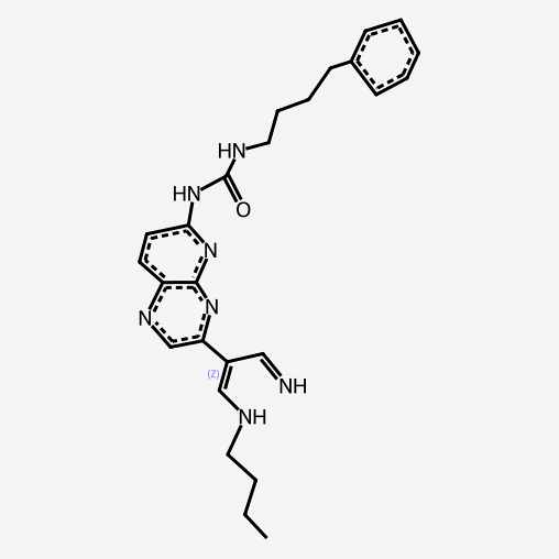 CCCCN/C=C(\C=N)c1cnc2ccc(NC(=O)NCCCCc3ccccc3)nc2n1